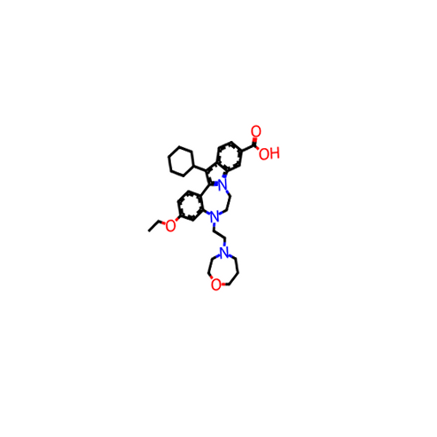 CCOc1ccc2c(c1)N(CCN1CCCOCC1)CCn1c-2c(C2CCCCC2)c2ccc(C(=O)O)cc21